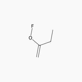 C=C(CC)OF